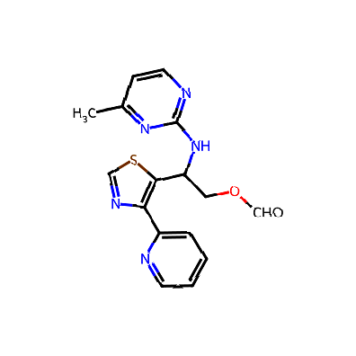 Cc1ccnc(NC(COC=O)c2scnc2-c2ccccn2)n1